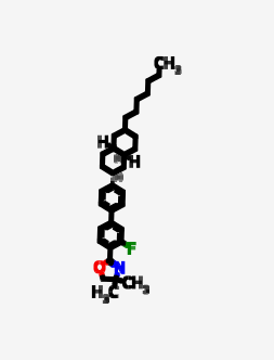 CCCCCCCC1CC[C@@H]2C[C@H](c3ccc(-c4ccc(C5=NC(C)(C)CO5)c(F)c4)cc3)CC[C@@H]2C1